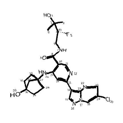 CC(C)(O)[C@H](F)CNC(=O)c1cnc(-c2cnn3cc(Cl)cnc23)cc1NC12CCC(O)(CC1)C2